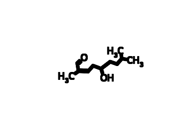 CC(C=O)=CCC(O)CCC(C)C